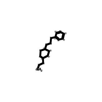 NCCC1CCC([CH]CCc2ccccc2)CC1